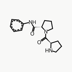 O=C(Nc1ccccc1)[C@@H]1CCCN1C(=O)[C@H]1CCCN1